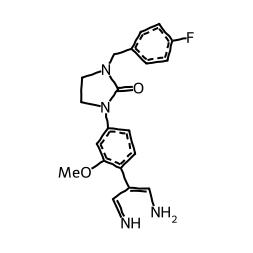 COc1cc(N2CCN(Cc3ccc(F)cc3)C2=O)ccc1/C(C=N)=C/N